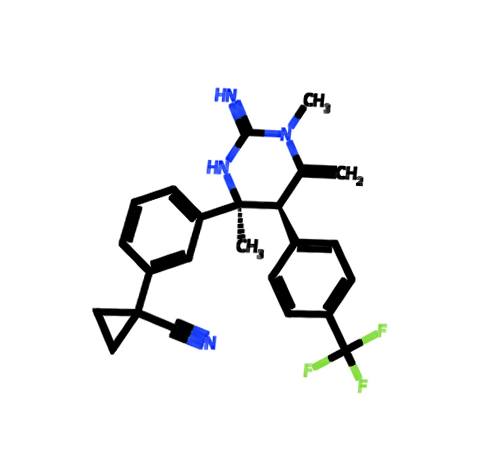 C=C1[C@@H](c2ccc(C(F)(F)F)cc2)[C@@](C)(c2cccc(C3(C#N)CC3)c2)NC(=N)N1C